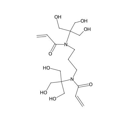 C=CC(=O)N(CCCN(C(=O)C=C)C(CO)(CO)CO)C(CO)(CO)CO